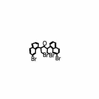 O=C(C(CBr)c1cccc2ccc(Br)cc12)C(CBr)c1cccc2ccc(Br)cc12